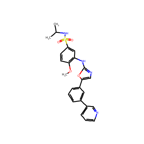 COc1ccc(S(=O)(=O)NC(C)C)cc1Nc1ncc(-c2cccc(-c3cccnc3)c2)o1